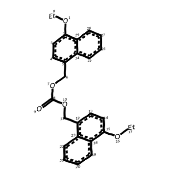 CCOc1ccc(COC(=O)OCc2ccc(OCC)c3ccccc23)c2ccccc12